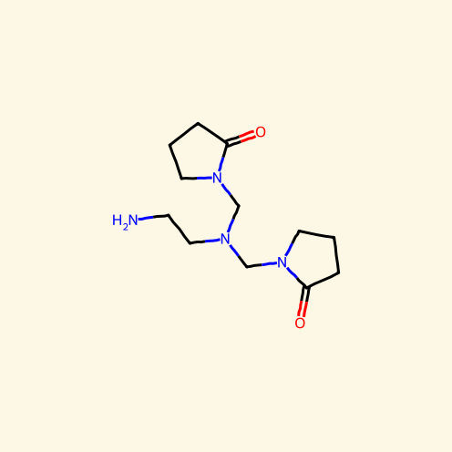 NCCN(CN1CCCC1=O)CN1CCCC1=O